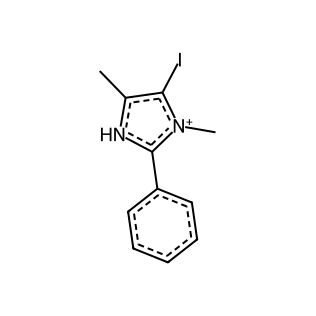 Cc1[nH]c(-c2ccccc2)[n+](C)c1I